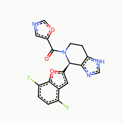 O=C(c1cnco1)N1CCc2[nH]cnc2[C@H]1c1cc2c(F)ccc(F)c2o1